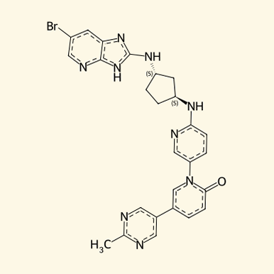 Cc1ncc(-c2ccc(=O)n(-c3ccc(N[C@H]4CC[C@H](Nc5nc6cc(Br)cnc6[nH]5)C4)nc3)c2)cn1